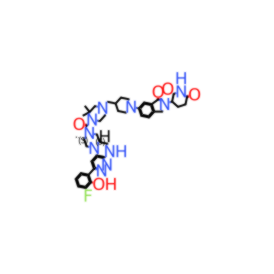 C[C@H]1CN2c3cc(-c4cccc(F)c4O)nnc3NC[C@H]2CN1C(=O)N1CCN(CC2CCN(c3ccc4c(c3)C(=O)N(C3CCC(=O)NC3=O)C4)CC2)CC1(C)C